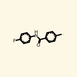 [CH2]c1ccc(C(=O)Nc2ccc(F)cc2)cc1